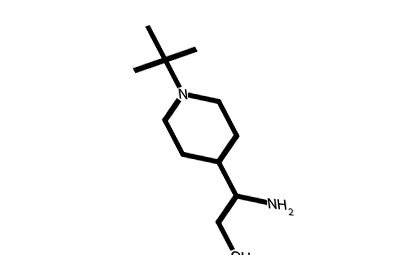 CC(C)(C)N1CCC(C(N)CO)CC1